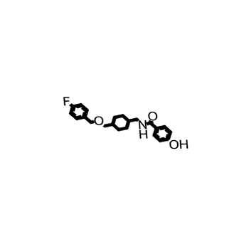 O=C(NCC1CCC(COCc2ccc(F)cc2)CC1)c1ccc(O)cc1